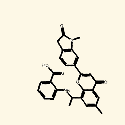 Cc1cc(C(C)Nc2ccccc2C(=O)O)c2oc(-c3ccc4c(c3)N(C)C(=O)C4)cc(=O)c2c1